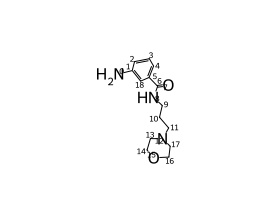 Nc1cccc(C(=O)NCCCN2CCOCC2)c1